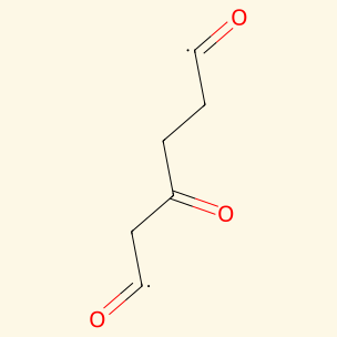 O=[C]CCC(=O)C[C]=O